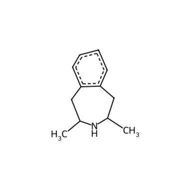 CC1Cc2ccccc2CC(C)N1